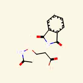 O=C1C[C@@H]([C@@H](C(=O)O)N2C(=O)c3ccccc3C2=O)ON1